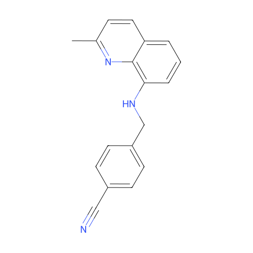 Cc1ccc2cccc(NCc3ccc(C#N)cc3)c2n1